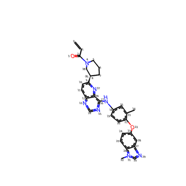 C=CC(=O)N1CCC[C@@H](c2ccc3ncnc(Nc4ccc(Oc5ccc6c(c5)ncn6C)c(C)c4)c3n2)C1